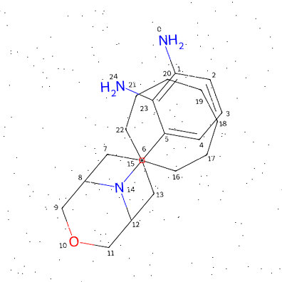 Nc1cccc(C2CC3COCC(C2)N3C2CCCCCCC2)c1N